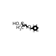 CN(CCOCc1ccccc1)C(=O)O